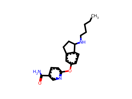 CCCCCNC1CCc2cc(Oc3ccc(C(N)=O)cn3)ccc21